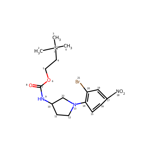 C[Si](C)(C)CCOC(=O)NC1CCN(c2ccc([N+](=O)[O-])cc2Br)C1